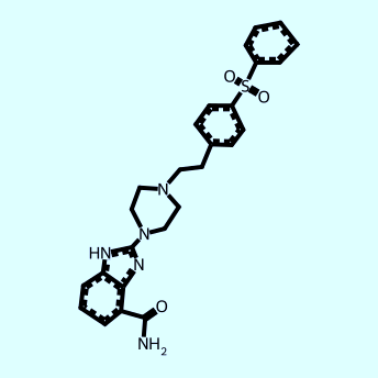 NC(=O)c1cccc2[nH]c(N3CCN(CCc4ccc(S(=O)(=O)c5ccccc5)cc4)CC3)nc12